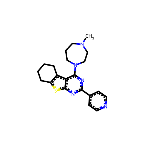 CN1CCCN(c2nc(-c3ccncc3)nc3sc4c(c23)CCCC4)CC1